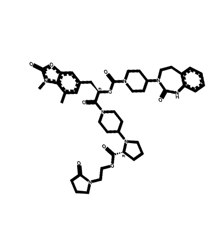 Cc1cc(C[C@@H](OC(=O)N2CCC(N3CCc4ccccc4NC3=O)CC2)C(=O)N2CCC(N3CCC[C@@H]3C(=O)OCCN3CCCC3=O)CC2)cc2oc(=O)n(C)c12